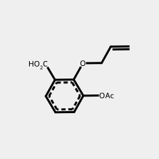 C=CCOc1c(OC(C)=O)cccc1C(=O)O